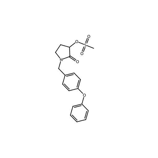 CS(=O)(=O)OC1CCN(Cc2ccc(Oc3ccccc3)cc2)C1=O